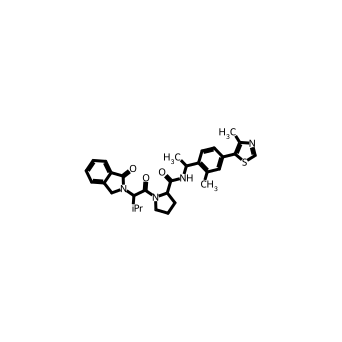 Cc1cc(-c2scnc2C)ccc1C(C)NC(=O)C1CCCN1C(=O)C(C(C)C)N1Cc2ccccc2C1=O